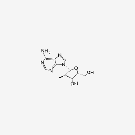 C[C@@H]1C(O)[C@@H](CO)O[C@H]1n1cnc2c(N)ncnc21